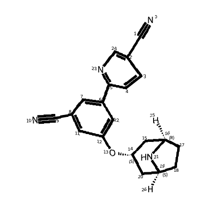 N#Cc1ccc(-c2cc(C#N)cc(O[C@@H]3C[C@H]4CC[C@@H](C3)N4)c2)nc1